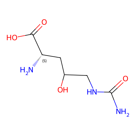 NC(=O)NCC(O)C[C@H](N)C(=O)O